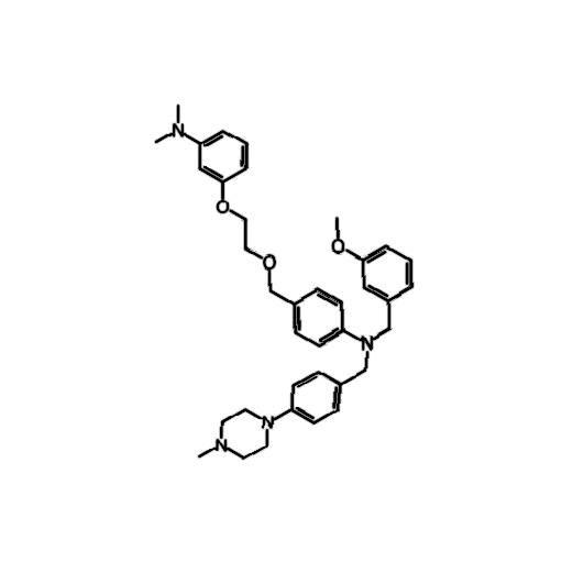 COc1cccc(CN(Cc2ccc(N3CCN(C)CC3)cc2)c2ccc(COCCOc3cccc(N(C)C)c3)cc2)c1